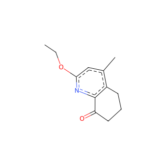 CCOc1cc(C)c2c(n1)C(=O)CCC2